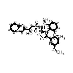 COc1cccc(-c2nnc(NS(=O)(=O)CC(O)c3cn4ccccc4n3)n2-c2c(OC)cccc2OC)n1